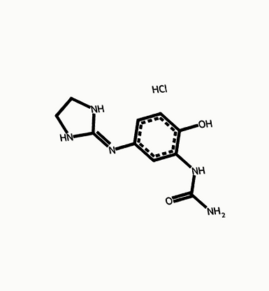 Cl.NC(=O)Nc1cc(N=C2NCCN2)ccc1O